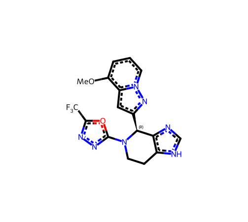 COc1cccn2nc([C@H]3c4nc[nH]c4CCN3c3nnc(C(F)(F)F)o3)cc12